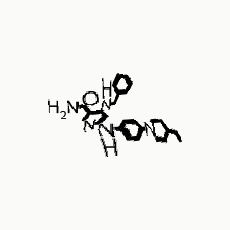 CCC1CCN(c2ccc(Nc3cc(NCc4ccccc4)c(C(N)=O)cn3)cc2)CC1